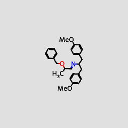 COc1ccc(CC(Cc2ccc(OC)cc2)N=CC(C)OCc2ccccc2)cc1